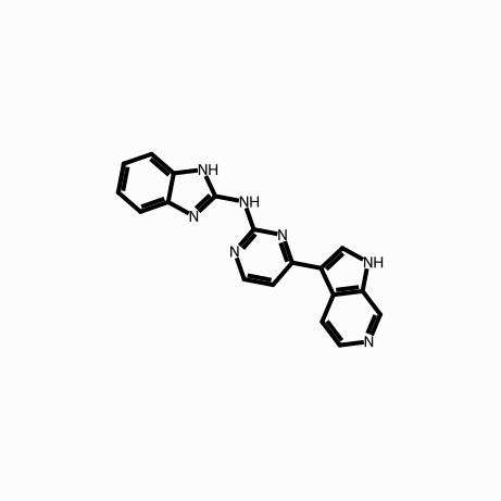 c1ccc2[nH]c(Nc3nccc(-c4c[nH]c5cnccc45)n3)nc2c1